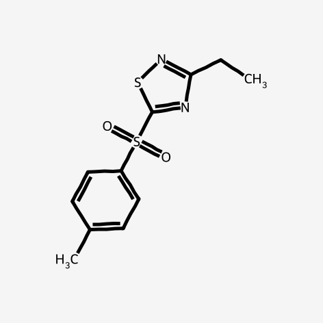 CCc1nsc(S(=O)(=O)c2ccc(C)cc2)n1